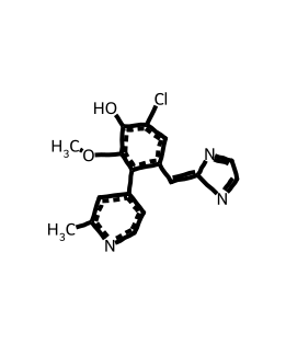 COc1c(O)c(Cl)cc(C=C2N=CC=N2)c1-c1ccnc(C)c1